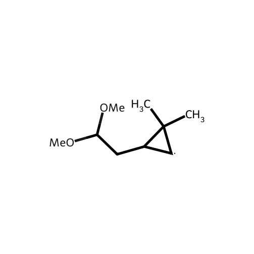 COC(CC1[CH]C1(C)C)OC